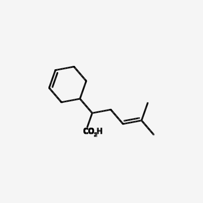 CC(C)=CCC(C(=O)O)C1CC=CCC1